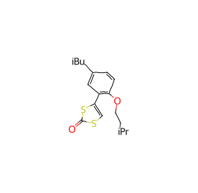 CCC(C)c1ccc(OCCC(C)C)c(-c2csc(=O)s2)c1